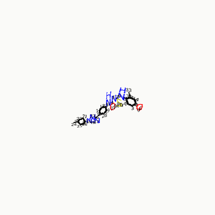 COc1ccc(N/C(=N/C(=O)Nc2ccc(-c3ncn(-c4ccc(C)cc4)n3)cc2)SC)c(C)c1